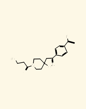 C=C(F)c1ccc(C2=NOC3(CCN(C(=O)CCC(C)C)CC3)C2)cc1